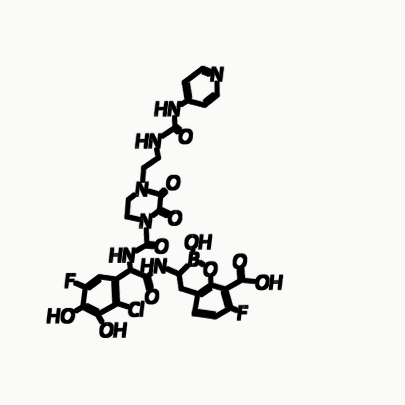 O=C(NCCN1CCN(C(=O)NC(C(=O)NC2Cc3ccc(F)c(C(=O)O)c3OB2O)c2cc(F)c(O)c(O)c2Cl)C(=O)C1=O)Nc1ccncc1